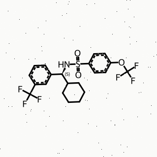 O=S(=O)(N[C@H](c1cccc(C(F)(F)F)c1)C1CCCCC1)c1ccc(OC(F)(F)F)cc1